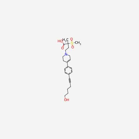 CC(CCN1CC=C(c2ccc(C#CCCCCO)cc2)CC1)(C(=O)O)S(C)(=O)=O